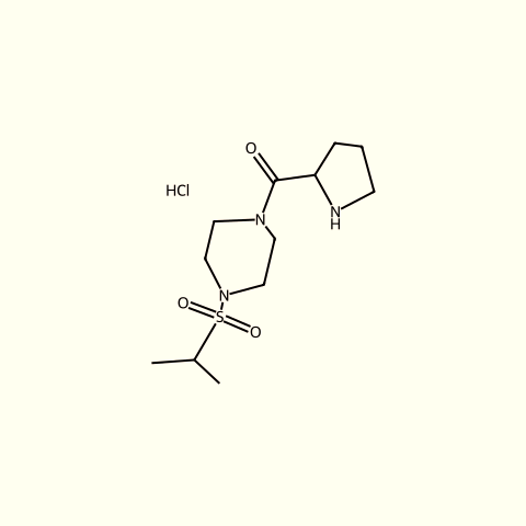 CC(C)S(=O)(=O)N1CCN(C(=O)C2CCCN2)CC1.Cl